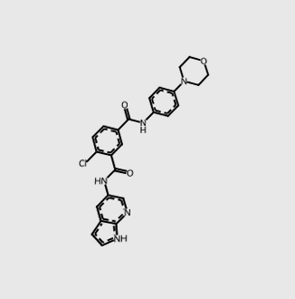 O=C(Nc1ccc(N2CCOCC2)cc1)c1ccc(Cl)c(C(=O)Nc2cnc3[nH]ccc3c2)c1